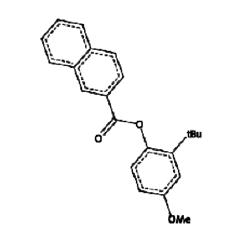 COc1ccc(OC(=O)c2ccc3ccccc3c2)c(C(C)(C)C)c1